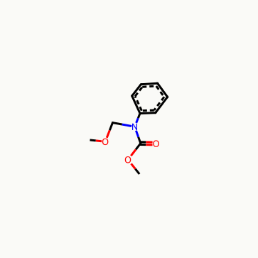 COCN(C(=O)OC)c1ccccc1